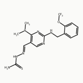 CN(C)c1nc(NCc2ccccc2OC(F)(F)F)ncc1C=NNC(N)=S